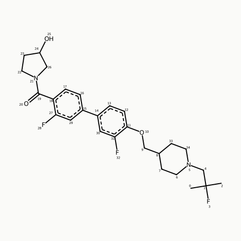 CC(C)(F)CN1CCC(COc2ccc(-c3ccc(C(=O)N4CCC(O)C4)c(F)c3)cc2F)CC1